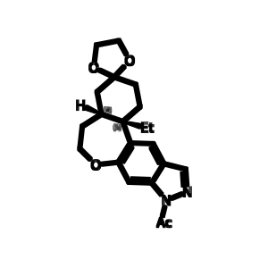 CC[C@]12CCC3(C[C@H]1CCOc1cc4c(cnn4C(C)=O)cc12)OCCO3